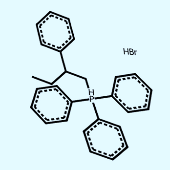 Br.CCC(C[PH](c1ccccc1)(c1ccccc1)c1ccccc1)c1ccccc1